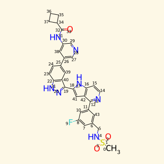 CS(=O)(=O)NCc1cc(F)cc(-c2nccc3[nH]c(-c4n[nH]c5ccc(-c6cncc(NC(=O)C7CCC7)c6)cc45)cc23)c1